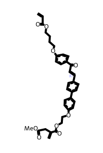 C=CC(=O)OCCCCOc1ccc(C(=O)/C=C/c2ccc(-c3ccc(OCCOC(=O)C(=C)CC(=O)OC)cc3)cc2)cc1